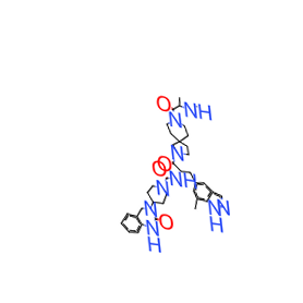 CNC(C)C(=O)N1CCC2(CC1)CCN(C(=O)C(Cc1cc(C)c3[nH]ncc3c1)NC(=O)N1CCC(N3Cc4ccccc4NC3=O)CC1)C2